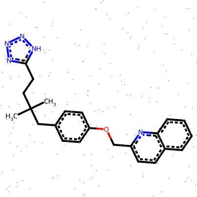 CC(C)(CCc1nnn[nH]1)Cc1ccc(OCc2ccc3ccccc3n2)cc1